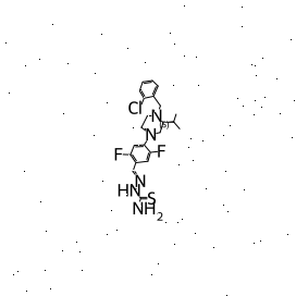 CC(C)[C@H]1CN(c2cc(F)c(C=NNC(N)=S)cc2F)CCN1Cc1ccccc1Cl